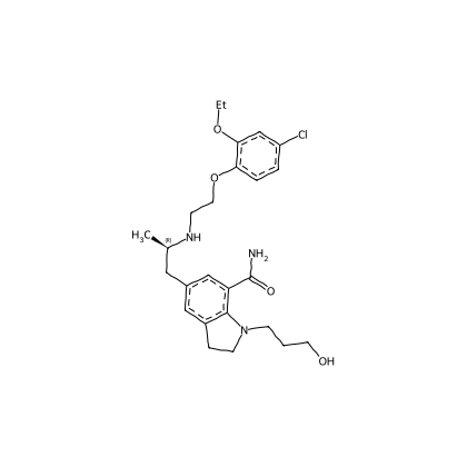 CCOc1cc(Cl)ccc1OCCN[C@H](C)Cc1cc2c(c(C(N)=O)c1)N(CCCO)CC2